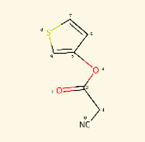 N#CCC(=O)Oc1ccsc1